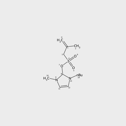 C=C(C)CS(=O)(=O)OC1N(C)C=CN1CCCC